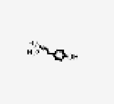 CN(C)CCc1ccc(O)cc1